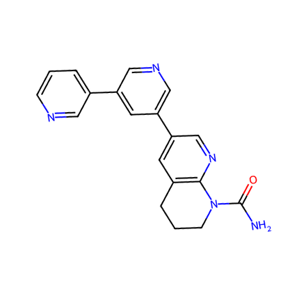 NC(=O)N1CCCc2cc(-c3cncc(-c4cccnc4)c3)cnc21